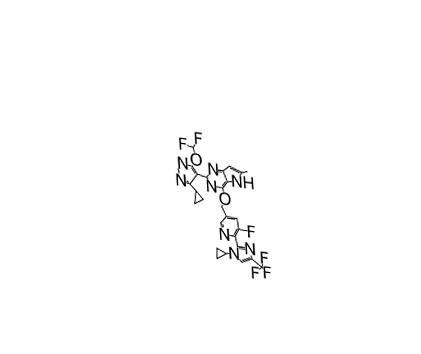 Cc1cc2nc(-c3c(OC(F)F)ncnc3C3CC3)nc(OCc3cnc(-c4nc(C(F)(F)F)cn4C4CC4)c(F)c3)c2[nH]1